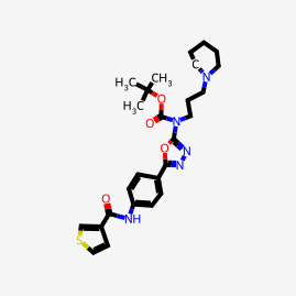 CC(C)(C)OC(=O)N(CCCN1CCCCC1)c1nnc(-c2ccc(NC(=O)c3ccsc3)cc2)o1